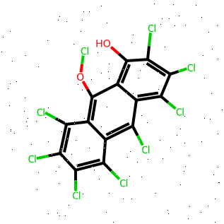 Oc1c(Cl)c(Cl)c(Cl)c2c(Cl)c3c(Cl)c(Cl)c(Cl)c(Cl)c3c(OCl)c12